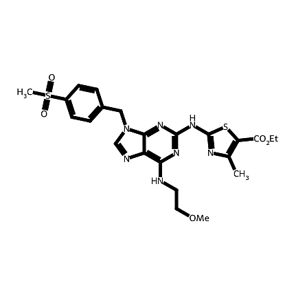 CCOC(=O)c1sc(Nc2nc(NCCOC)c3ncn(Cc4ccc(S(C)(=O)=O)cc4)c3n2)nc1C